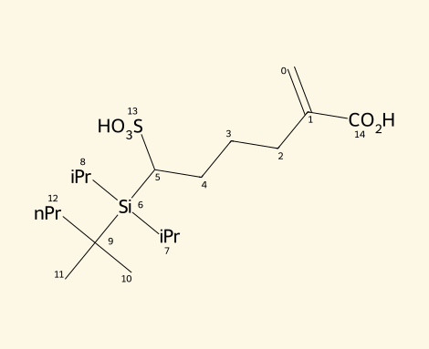 C=C(CCCC([Si](C(C)C)(C(C)C)C(C)(C)CCC)S(=O)(=O)O)C(=O)O